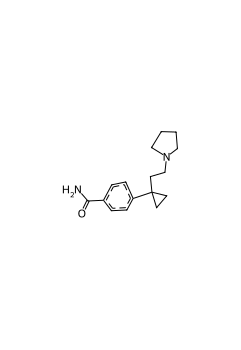 NC(=O)c1ccc(C2(CCN3CCCC3)CC2)cc1